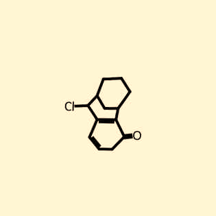 O=C1CC=CC2=C1C1CCCC(C1)C2Cl